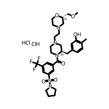 COC[C@@H]1CN(CCN2CCN(C(=O)c3cc(C(F)(F)F)cc(S(=O)(=O)N4CCCC4)c3)[C@H](Cc3ccc(C)c(O)c3)C2)CCO1.Cl.Cl